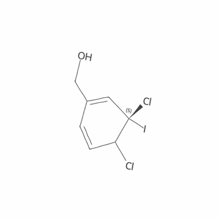 OCC1=C[C@](Cl)(I)C(Cl)C=C1